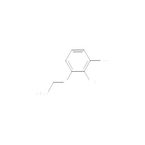 CCCCCCCOc1cccc(O)c1O